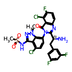 Cn1nc(NS(C)(=O)=O)c2c(Cl)ccc(-n3c([C@@H](N)Cc4cc(F)cc(F)c4)nc4ccc(F)c(Cl)c4c3=O)c21